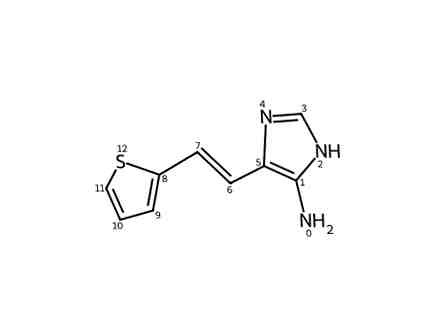 Nc1[nH]cnc1/C=C/c1cccs1